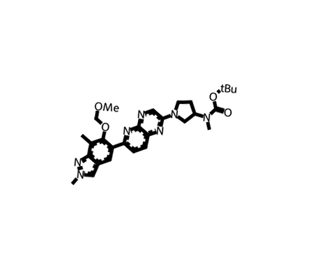 COCOc1c(-c2ccc3nc(N4CCC(N(C)C(=O)OC(C)(C)C)C4)cnc3n2)cc2cn(C)nc2c1C